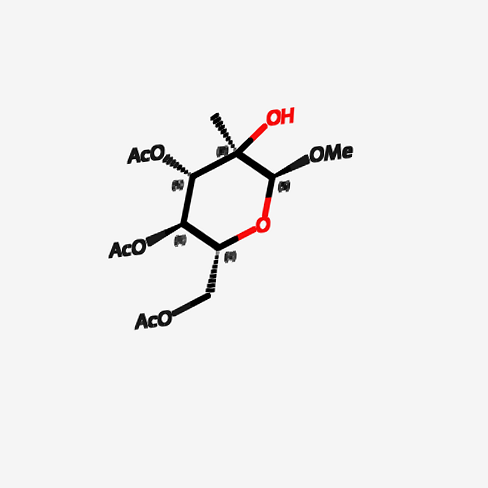 CO[C@H]1O[C@H](COC(C)=O)[C@@H](OC(C)=O)[C@H](OC(C)=O)[C@@]1(C)O